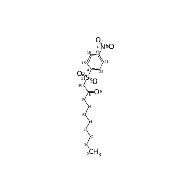 CCCCCCCCC(=O)CS(=O)(=O)c1ccc([N+](=O)[O-])cc1